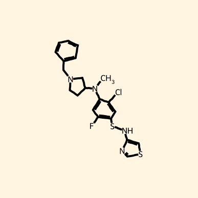 CN(c1cc(F)c(SNc2cscn2)cc1Cl)C1CCN(Cc2ccccc2)C1